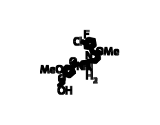 COc1cc(C(=O)NCC(N)c2ccc(OC)c(-c3ccc(F)c(Cl)c3)n2)ccc1OCCO